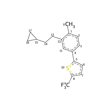 Cc1ccc(-c2ccc(C(F)(F)F)s2)cc1CCC1CC1